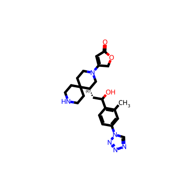 Cc1cc(-n2cnnn2)ccc1C(O)C[C@H]1CN(C2=CC(=O)OC2)CCC12CCNCC2